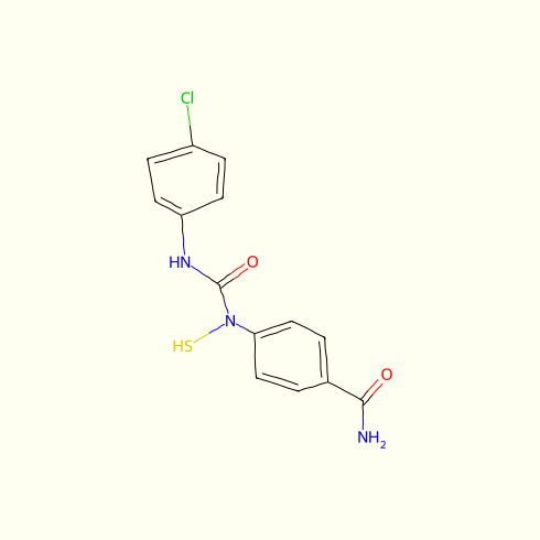 NC(=O)c1ccc(N(S)C(=O)Nc2ccc(Cl)cc2)cc1